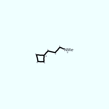 C[N]CCCC1CCC1